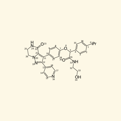 CC(C)c1ccc(C(Oc2ccc(-c3c(-c4ccncc4)nn4c3C(=O)NCC4)cc2)C(=O)NCCO)cc1